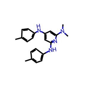 Cc1ccc(Nc2cc(Nc3ccc(C)cc3)nc(N(C)C)c2)cc1